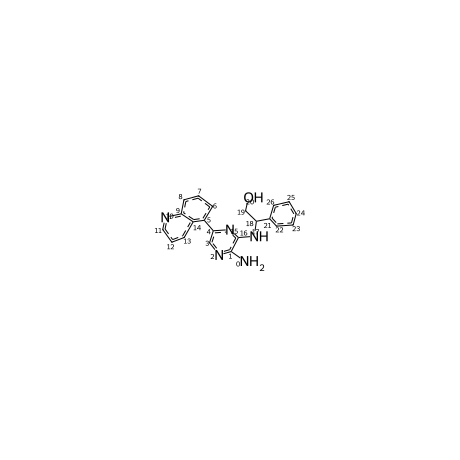 Nc1ncc(-c2cccc3ncccc23)nc1NC(CO)c1ccccc1